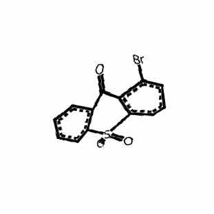 O=C1c2ccccc2S(=O)(=O)c2cccc(Br)c21